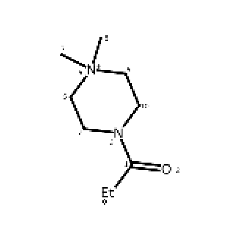 CCC(=O)N1CC[N+](C)(C)CC1